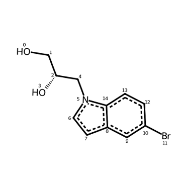 OC[C@@H](O)Cn1ccc2cc(Br)ccc21